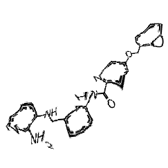 Nc1ncccc1NCc1cccc(NC(=O)c2ccc(OCc3ccco3)cn2)c1